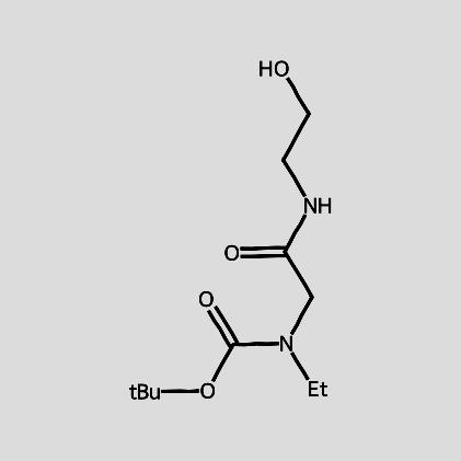 CCN(CC(=O)NCCO)C(=O)OC(C)(C)C